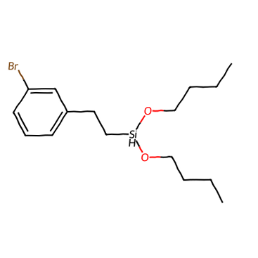 CCCCO[SiH](CCc1cccc(Br)c1)OCCCC